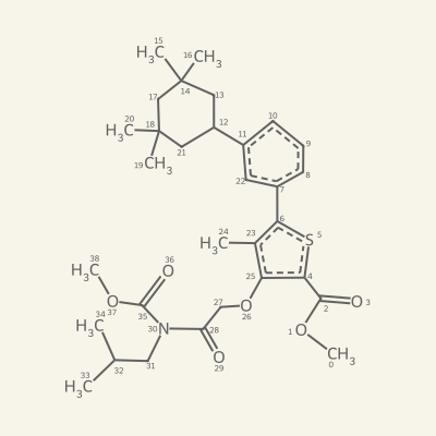 COC(=O)c1sc(-c2cccc(C3CC(C)(C)CC(C)(C)C3)c2)c(C)c1OCC(=O)N(CC(C)C)C(=O)OC